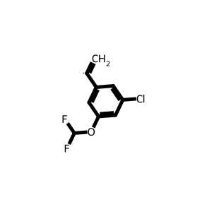 C=[C]c1cc(Cl)cc(OC(F)F)c1